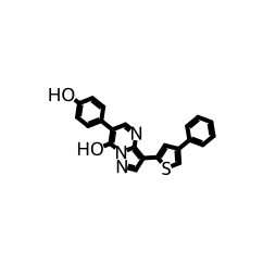 Oc1ccc(-c2cnc3c(-c4cc(-c5ccccc5)cs4)cnn3c2O)cc1